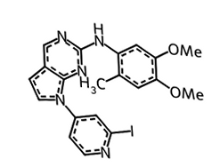 COc1cc(C)c(Nc2ncc3ccn(-c4ccnc(I)c4)c3n2)cc1OC